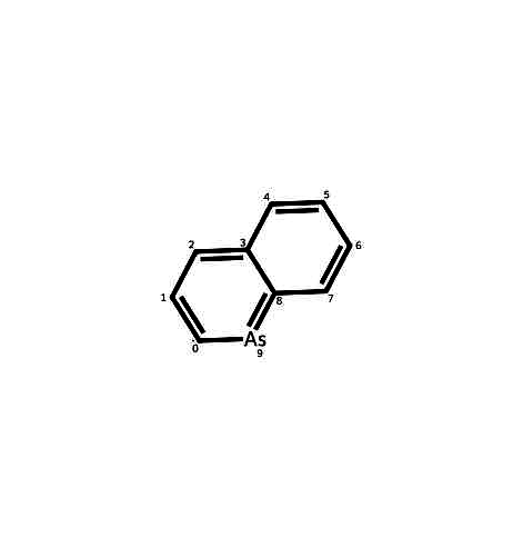 [C]1=CC=c2ccccc2=[As]1